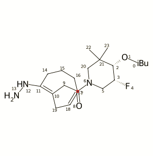 CCC(C)O[C@@H]1[C@H](F)CN(C(=O)C/C2=C(/NN)CCC/C=C\C2)CC1(C)C